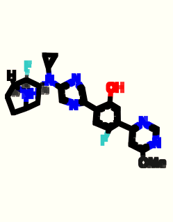 COc1cc(-c2cc(O)c(-c3cnc(N(C4CC4)[C@@H]4CC5CC[C@H](N5)[C@@H]4F)cn3)cc2F)ncn1